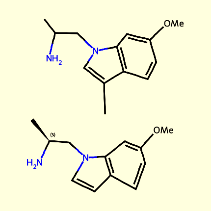 COc1ccc2c(C)cn(CC(C)N)c2c1.COc1ccc2ccn(C[C@H](C)N)c2c1